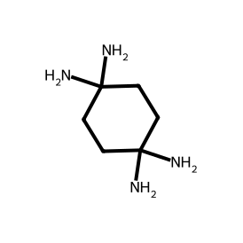 NC1(N)CCC(N)(N)CC1